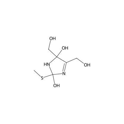 CSC1(O)N=C(CO)C(O)(CO)N1